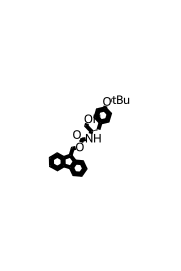 CC(C)(C)Oc1ccc(C[C@@H](CO)NC(=O)OCC2c3ccccc3-c3ccccc32)cc1